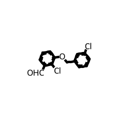 O=Cc1cccc(OCc2cccc(Cl)c2)c1Cl